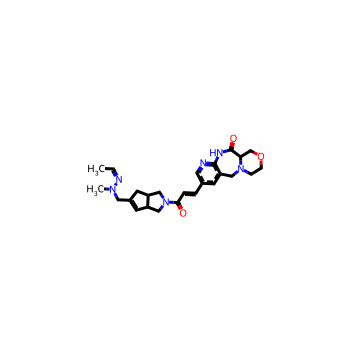 C/C=N\N(C)CC1=CC2CN(C(=O)/C=C/c3cnc4c(c3)CN3CCOCC3C(=O)N4)CC2C1